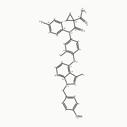 COc1ccc(Cn2nc(C)c3c(Oc4ccc(N(C(=O)C5(C(N)=O)CC5)c5ccc(F)cc5)cc4C)ccnc32)cc1